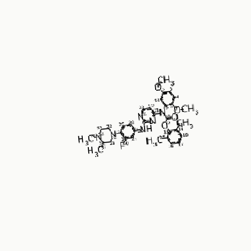 COc1ccc(OC)c(N(C(=O)Oc2c(C)cccc2C)c2ccnc(Nc3ccc(N4CCN(C)C(C)C4)c(F)c3)n2)c1